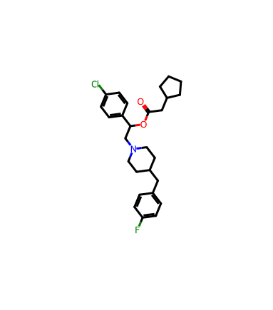 O=C(CC1CCCC1)OC(CN1CCC(Cc2ccc(F)cc2)CC1)c1ccc(Cl)cc1